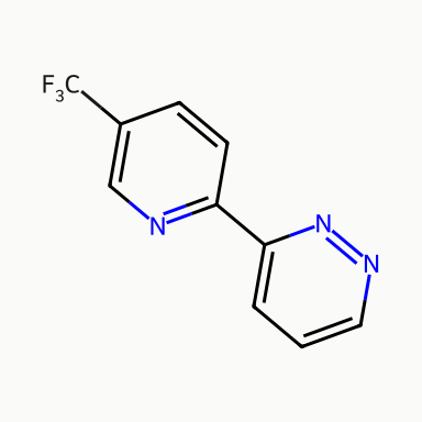 FC(F)(F)c1ccc(-c2cccnn2)nc1